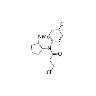 CNC1CCCC1N(C(=O)CCCl)c1ccc(Cl)cc1